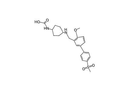 COc1ccc(-c2ccc(S(C)(=O)=O)cc2)cc1CNC1CCC(NC(=O)O)CC1